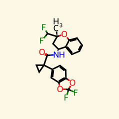 C[C@]1(C(F)F)C[C@@H](NC(=O)C2(c3ccc4c(c3)OC(F)(F)O4)CC2)c2ccccc2O1